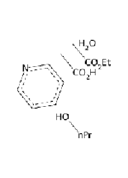 CC(=O)O.CCCO.CCOC(C)=O.O.c1ccncc1